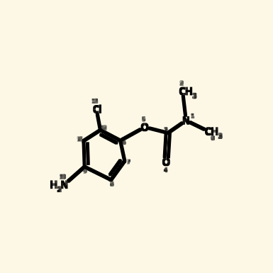 CN(C)C(=O)Oc1ccc(N)cc1Cl